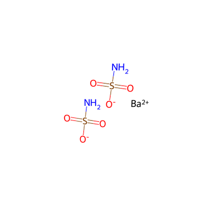 NS(=O)(=O)[O-].NS(=O)(=O)[O-].[Ba+2]